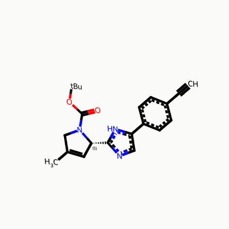 C#Cc1ccc(-c2cnc([C@@H]3C=C(C)CN3C(=O)OC(C)(C)C)[nH]2)cc1